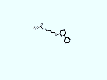 O=C(CCCCCCOc1cccc(-c2ccccc2)c1)C(F)(F)F